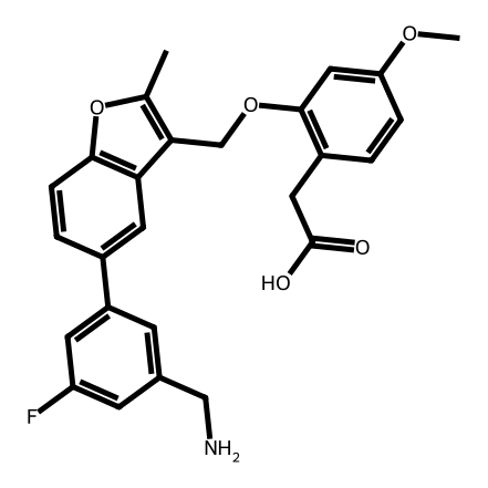 COc1ccc(CC(=O)O)c(OCc2c(C)oc3ccc(-c4cc(F)cc(CN)c4)cc23)c1